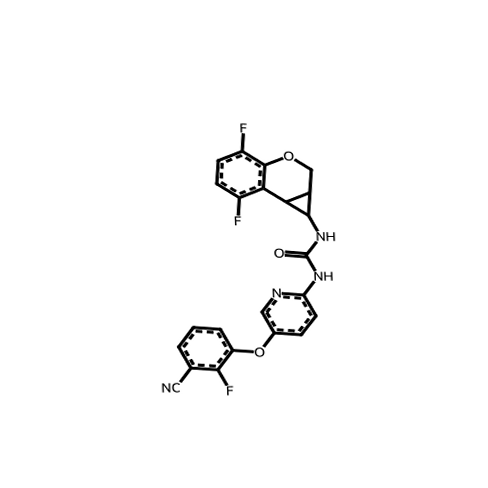 N#Cc1cccc(Oc2ccc(NC(=O)NC3C4COc5c(F)ccc(F)c5C43)nc2)c1F